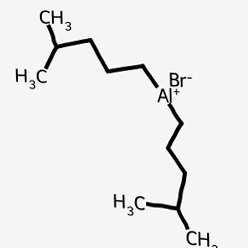 CC(C)CC[CH2][Al+][CH2]CCC(C)C.[Br-]